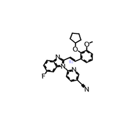 COc1cccc(/C=C/c2nc3ccc(F)cc3n2-c2ccc(C#N)cn2)c1OC1CCCC1